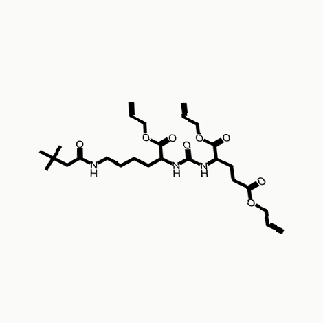 C=CCOC(=O)CCC(NC(=O)NC(CCCCNC(=O)CC(C)(C)C)C(=O)OCC=C)C(=O)OCC=C